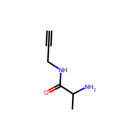 C#CCNC(=O)C(C)N